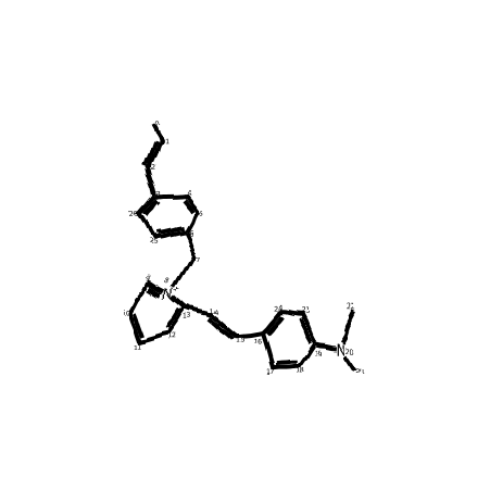 CC=Cc1ccc(C[n+]2ccccc2C=Cc2ccc(N(C)C)cc2)cc1